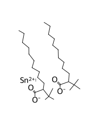 CCCCCCCCCCC(C(=O)[O-])C(C)(C)C.CCCCCCCCCCC(C(=O)[O-])C(C)(C)C.[Sn+2]